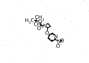 CC(C)(C)OC(=O)N1CCC1Oc1ccc([N+](=O)[O-])nc1